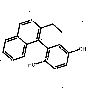 CCc1ccc2ccccc2c1-c1cc(O)ccc1O